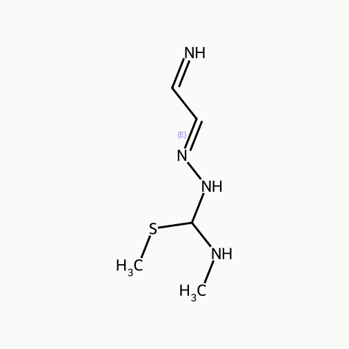 CNC(N/N=C/C=N)SC